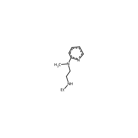 CCNCCN(C)c1ccccn1